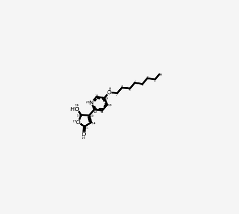 CCCCCCCCOc1ccc(C2=CC(=O)OC2O)nc1